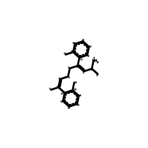 C/C(=C/CC/C(=C/C(C)N)c1ccccc1C)c1ccccc1C